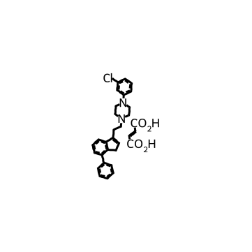 Clc1cccc(N2CCN(CCC3=CCc4c3cccc4-c3ccccc3)CC2)c1.O=C(O)C=CC(=O)O